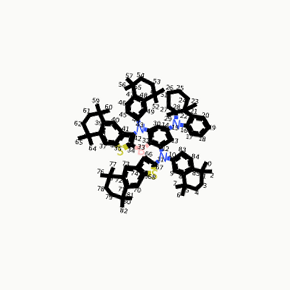 CC1(C)CCC(C)(C)c2cc(N3c4cc(N5c6ccccc6C6(C)CCCCC56C)cc5c4B(c4sc6cc7c(cc6c4N5c4ccc5c(c4)C(C)(C)CCC5(C)C)C(C)(C)CCC7(C)C)c4c3sc3cc5c(cc43)C(C)(C)CCC5(C)C)ccc21